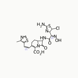 Cc1ncsc1/C=C\C1=C(C(=O)O)N2C(=O)C(NC(=O)/C(=N\O)C3N=C(N)SC3Cl)C2CC1